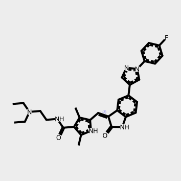 CCN(CC)CCNC(=O)c1c(C)[nH]c(/C=C2\C(=O)Nc3ccc(-c4cnn(-c5ccc(F)cc5)c4)cc32)c1C